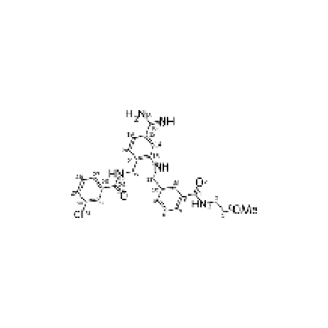 COCCNC(=O)c1cccc(CNc2cc(C(=N)N)ccc2CNC(=O)c2cccc(Cl)c2)c1